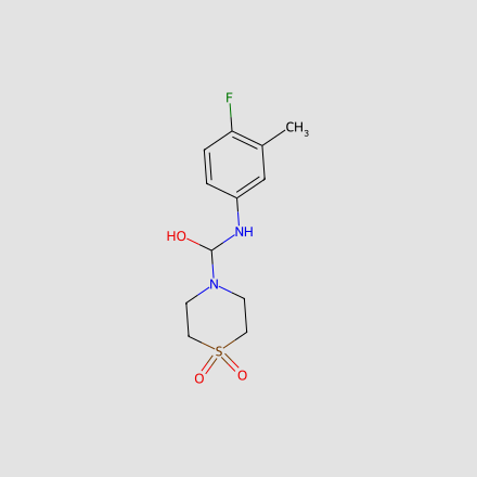 Cc1cc(NC(O)N2CCS(=O)(=O)CC2)ccc1F